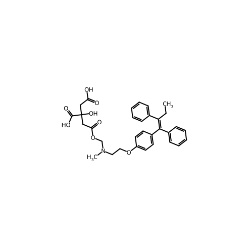 CC/C(=C(\c1ccccc1)c1ccc(OCCN(C)COC(=O)CC(O)(CC(=O)O)C(=O)O)cc1)c1ccccc1